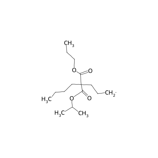 [CH2]CCC(CCCC)(C(=O)OCCC)C(=O)OC(C)C